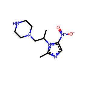 Cc1ncc([N+](=O)[O-])n1C(C)CN1CCNCC1